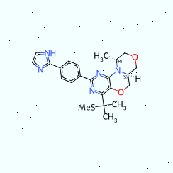 CSC(C)(C)c1nc(-c2ccc(-c3ncc[nH]3)cc2)nc2c1OC[C@@H]1COC[C@@H](C)N21